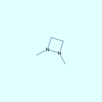 CN1CCN1C